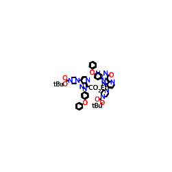 CC(C)(C)OC(=O)N1CCN(c2ccnc3c(C(N)=O)n(-c4ccc(Oc5ccccc5)cc4)nc23)CC1.CCOC(=O)c1c2nccc(N3CCN(C(=O)OC(C)(C)C)CC3)c2nn1-c1ccc(Oc2ccccc2)cc1